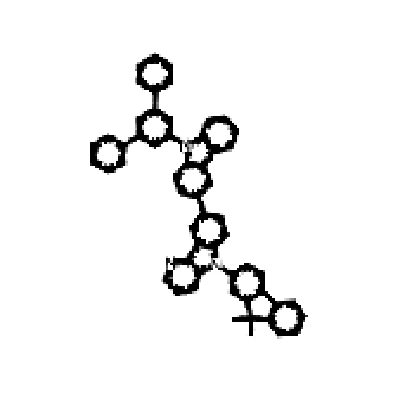 CC1(C)c2ccccc2-c2ccc(-n3c4ccc(-c5ccc6c(c5)c5ccccc5n6-c5cc(-c6ccccc6)cc(-c6ccccc6)c5)cc4c4ncccc43)cc21